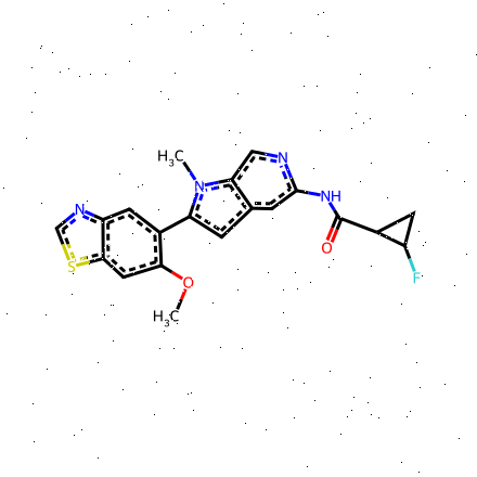 COc1cc2scnc2cc1-c1cc2cc(NC(=O)C3CC3F)ncc2n1C